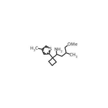 COCC(C)CC(N)C1(c2cc(C)cs2)CCC1